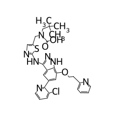 CC(C)(C)CN(Cc1cnc(Nc2n[nH]c3c(OCCc4ccccn4)cc(-c4ncccc4Cl)cc23)s1)C(=O)O